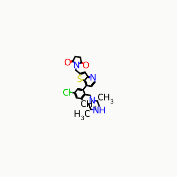 Cc1cc(Cl)cc(-c2ccnc3cc(CN4C(=O)CCC4=O)sc23)c1CN1C[C@@H](C)NC[C@@H]1C